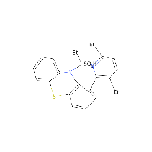 CCc1ccc(CC)c(-c2cccc3c2N(C(CC)S(=O)(=O)O)c2ccccc2S3)n1